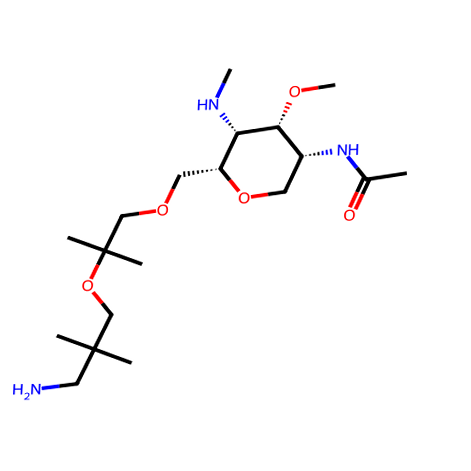 CN[C@@H]1[C@H](OC)[C@H](NC(C)=O)CO[C@@H]1COCC(C)(C)OCC(C)(C)CN